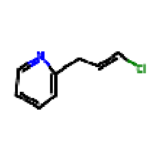 ClC=CCc1ccccn1